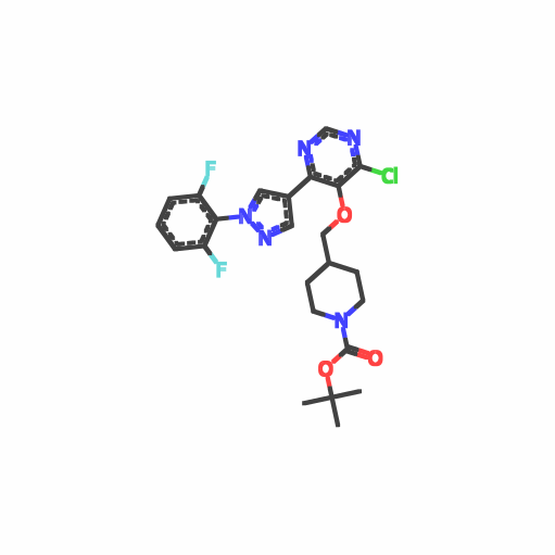 CC(C)(C)OC(=O)N1CCC(COc2c(Cl)ncnc2-c2cnn(-c3c(F)cccc3F)c2)CC1